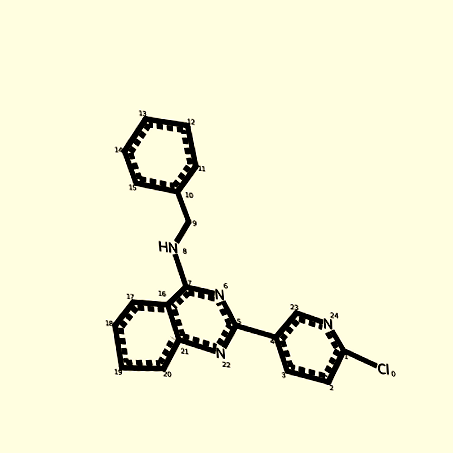 Clc1ccc(-c2nc(NCc3ccccc3)c3ccccc3n2)cn1